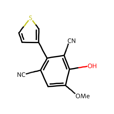 COc1cc(C#N)c(-c2ccsc2)c(C#N)c1O